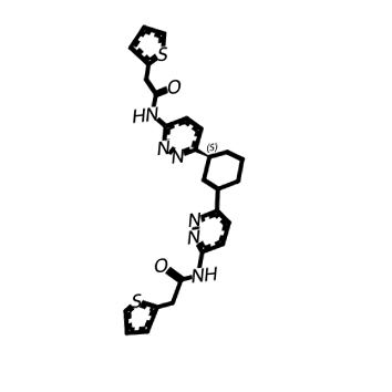 O=C(Cc1cccs1)Nc1ccc(C2CCC[C@H](c3ccc(NC(=O)Cc4cccs4)nn3)C2)nn1